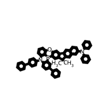 CC1(C)c2cc3c(cc2-c2cc4ccc(N(c5ccccc5)c5ccccc5)cc4cc21)Oc1cccc2c1B3c1cc(-c3ccccc3)ccc1N2c1ccc(-c2ccccc2)cc1